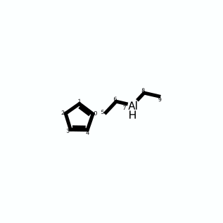 C1=CCC=C1.C[CH2][AlH][CH2]C